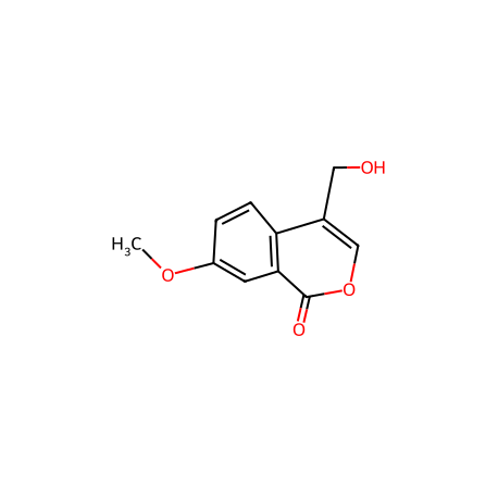 COc1ccc2c(CO)coc(=O)c2c1